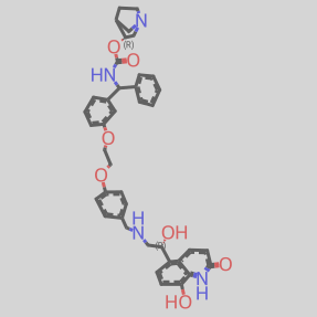 O=C(NC(c1ccccc1)c1cccc(OCCOc2ccc(CNC[C@H](O)c3ccc(O)c4[nH]c(=O)ccc34)cc2)c1)O[C@H]1CN2CCC1C2